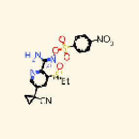 CC[S@+]([O-])c1cc(C2(C#N)CC2)cnc1/C(N)=N/OS(=O)(=O)c1ccc([N+](=O)[O-])cc1